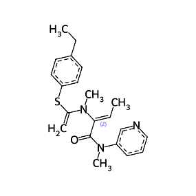 C=C(Sc1ccc(CC)cc1)N(C)/C(=C\C)C(=O)N(C)c1cccnc1